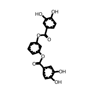 O=C(Oc1cccc(OC(=O)c2ccc(O)c(O)c2)c1)c1ccc(O)c(O)c1